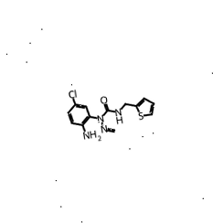 C=NN(C(=O)NCc1cccs1)c1cc(Cl)ccc1N